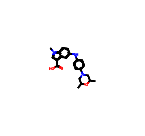 CC1CN(c2ccc(Nc3ccc4c(c3)c(C(=O)O)cn4C)cc2)CC(C)O1